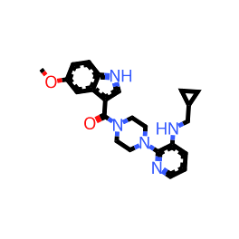 COc1ccc2[nH]cc(C(=O)N3CCN(c4ncccc4NCC4CC4)CC3)c2c1